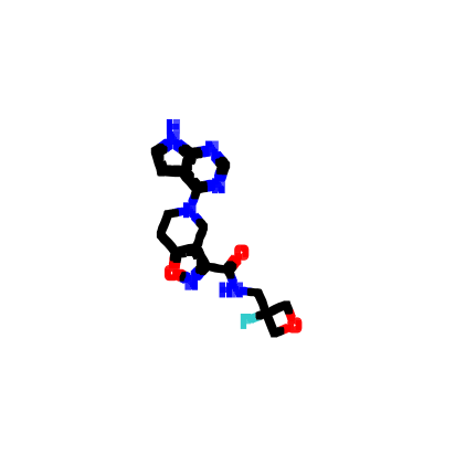 O=C(NCC1(F)COC1)c1noc2c1CN(c1ncnc3[nH]ccc13)CC2